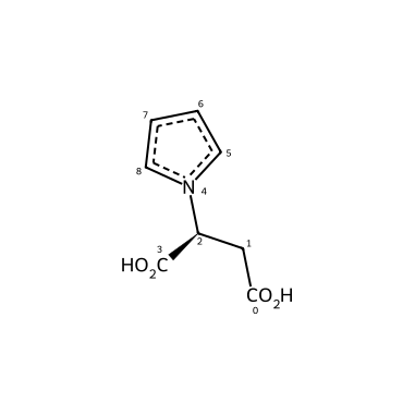 O=C(O)C[C@@H](C(=O)O)n1cccc1